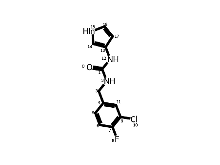 O=C(NCc1ccc(F)c(Cl)c1)NC1=[CH][InH][CH]=C1